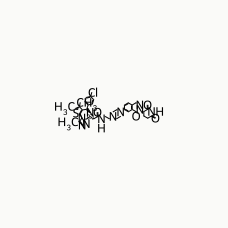 Cc1sc2c(c1C)C(c1ccc(Cl)cc1)=N[C@@H](CC(=O)NCCN1CCN(c3ccc4cnn(C5CCC(=O)NC5=O)c(=O)c4c3)CC1)c1nnc(C)n1-2